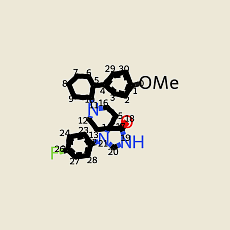 COc1ccc(C2CCCCC2N2CCC3(CC2)C(=O)NCN3c2ccc(F)cc2)cc1